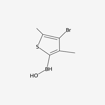 Cc1sc(BO)c(C)c1Br